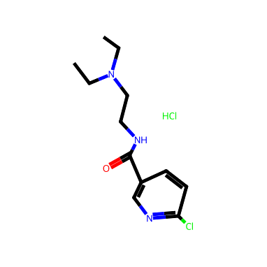 CCN(CC)CCNC(=O)c1ccc(Cl)nc1.Cl